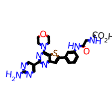 Nc1ncc(-c2nc(N3CCOCC3)c3sc(-c4cccc(NC(=O)CNC(=O)O)c4)cc3n2)cn1